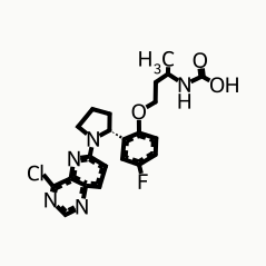 CC(CCOc1ccc(F)cc1[C@H]1CCCN1c1ccc2ncnc(Cl)c2n1)NC(=O)O